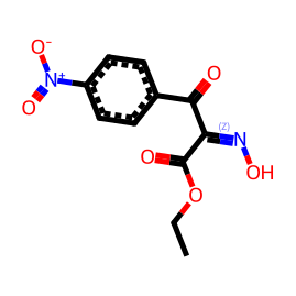 CCOC(=O)/C(=N\O)C(=O)c1ccc([N+](=O)[O-])cc1